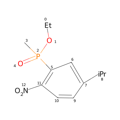 CCOP(C)(=O)c1cc(C(C)C)ccc1[N+](=O)[O-]